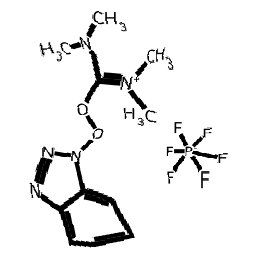 CN(C)C(OOn1nnc2ccccc21)=[N+](C)C.F[P-](F)(F)(F)(F)F